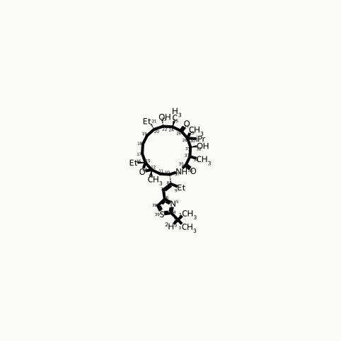 [2H]C(C)(C)c1nc(/C=C(\CC)[C@@H]2C[C@]3(C)O[C@]3(CC)CCC[C@H](CC)[C@H](O)[C@@H](C)C(=O)C(C)(C(C)C)[C@@H](O)C(C)C(=O)N2)cs1